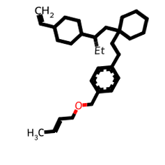 C=CC1CCC(C(CC)CC2(CCc3ccc(COCC=CC)cc3)CCCCC2)CC1